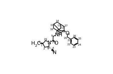 C=C1C[C@@H](C#N)N(C(=O)CNC23CC4CC(C2)CC(OCc2ccccc2)(C4)C3)C1